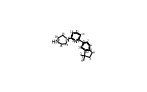 CC1(C)CCc2ccc(-c3cccc(N4CCNCC4)n3)cc21